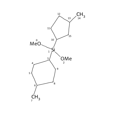 CO[Si](OC)(C1CCC(C)CC1)C1CCC(C)C1